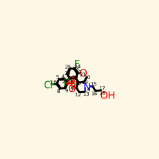 O=S(=O)(c1ccc(Cl)cc1)C12CCCN(CCCO)C1COc1c(F)ccc(F)c12